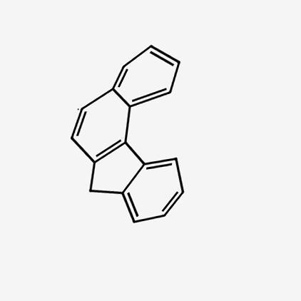 [c]1cc2c(c3ccccc13)-c1ccccc1C2